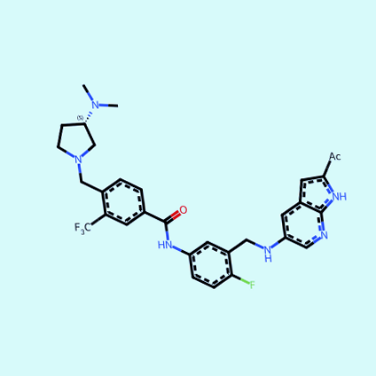 CC(=O)c1cc2cc(NCc3cc(NC(=O)c4ccc(CN5CC[C@H](N(C)C)C5)c(C(F)(F)F)c4)ccc3F)cnc2[nH]1